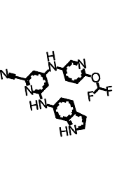 N#Cc1cc(Nc2ccc(OC(F)F)nc2)cc(Nc2ccc3cc[nH]c3c2)n1